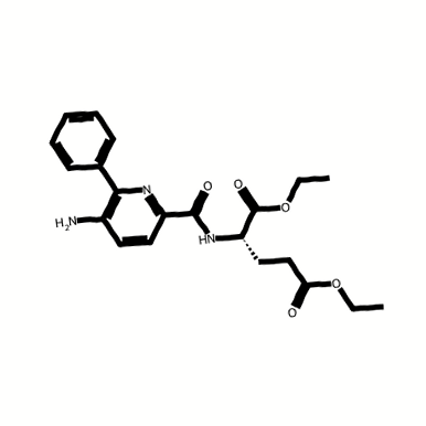 CCOC(=O)CC[C@H](NC(=O)c1ccc(N)c(-c2ccccc2)n1)C(=O)OCC